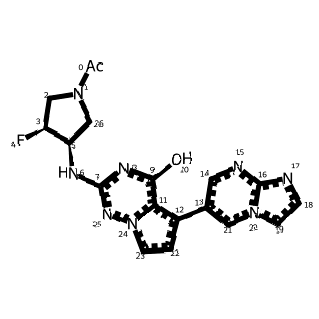 CC(=O)N1C[C@H](F)[C@H](Nc2nc(O)c3c(-c4cnc5nccn5c4)ccn3n2)C1